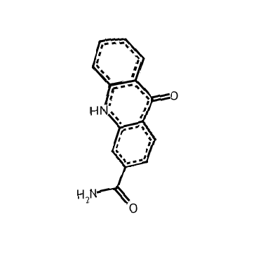 NC(=O)c1ccc2c(=O)c3ccccc3[nH]c2c1